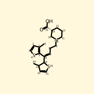 Cc1ccsc1/C(=C\CCN1CCC[C@@H](C(=O)O)C1)C1SC=CC1C